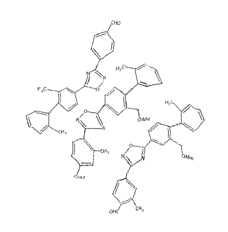 COCc1cc(-c2nc(-c3ccc(C=O)c(C)c3)no2)ccc1-c1ccccc1C.COCc1cc(-c2nc(-c3ccc(C=O)cc3C)no2)ccc1-c1ccccc1C.Cc1ccccc1-c1ccc(-c2nc(-c3ccc(C=O)cc3)no2)cc1C(F)(F)F